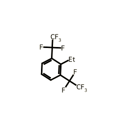 [CH2]Cc1c(C(F)(F)C(F)(F)F)cccc1C(F)(F)C(F)(F)F